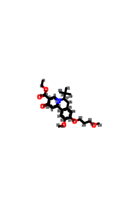 CCOC(=O)c1cn2c(cc1=O)-c1cc(OC)c(OCCCOC)cc1CC2C(C)(C)C